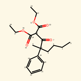 CCCCC(C)(C(=O)C(C(=O)OCC)C(=O)OCC)c1ccccc1